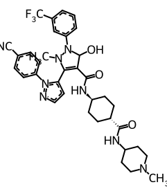 CN1CCC(NC(=O)[C@H]2CC[C@H](NC(=O)C3=C(c4ccnn4-c4ccc(C#N)cc4)N(C)N(c4cccc(C(F)(F)F)c4)C3O)CC2)CC1